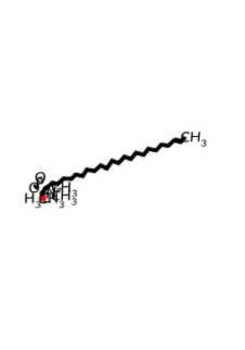 CC=CCCCCCCCCCCCCCCCCCCCCC(CC)(P(=O)=O)[N+](C)(C)C